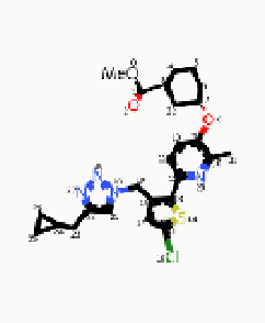 COC(=O)[C@H]1CCC[C@H](Oc2ccc(-c3sc(Cl)cc3Cn3cc(CC4CC4)nn3)nc2C)C1